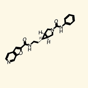 O=C(NCC[C@@H]1[C@H]2CN(C(=O)Nc3ccccc3)C[C@@H]12)c1cc2ccncc2o1